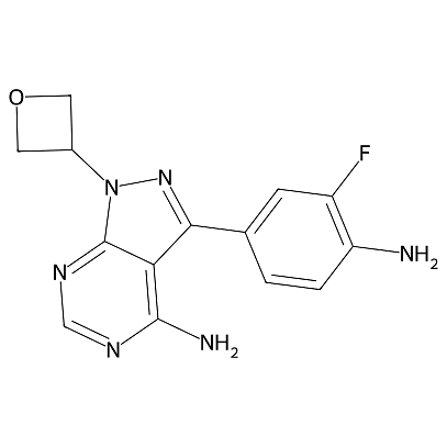 Nc1ccc(-c2nn(C3COC3)c3ncnc(N)c23)cc1F